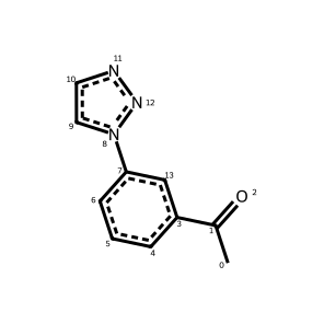 CC(=O)c1cccc(-n2ccnn2)c1